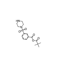 CC(C)(C)C(=O)OC(=O)c1cccc(S(=O)(=O)N2CCNCC2)c1